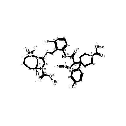 COC(=O)N1CCC(c2ccc(Cl)cc2)(C(N=[N+]=[N-])C(=O)Nc2cccc(F)c2CC[C@H]2CN(C(=O)OC(C)(C)C)[C@@H]3CCCS(=O)(=O)N2C3)CC1